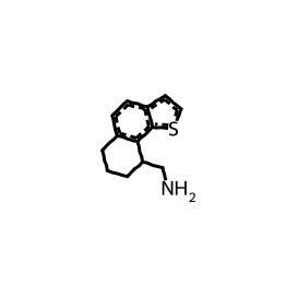 NCC1CCCc2ccc3ccsc3c21